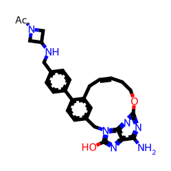 CC(=O)N1CC(NCc2ccc(-c3ccc4cc3C/C=C\CCOc3nc(N)c5nc(O)n(c5n3)C4)cc2)C1